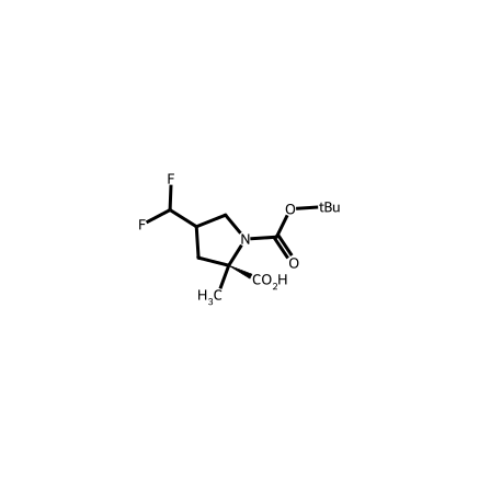 CC(C)(C)OC(=O)N1CC(C(F)F)C[C@]1(C)C(=O)O